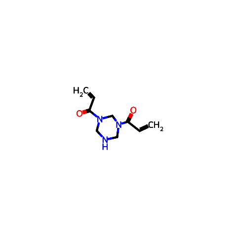 C=CC(=O)N1CNCN(C(=O)C=C)C1